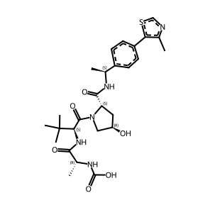 Cc1ncsc1-c1ccc([C@H](C)NC(=O)[C@@H]2C[C@@H](O)CN2C(=O)[C@@H](NC(=O)[C@@H](C)NC(=O)O)C(C)(C)C)cc1